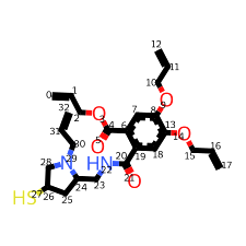 C=CCOC(=O)c1cc(OCC=C)c(OCC=C)cc1C(=O)NCC1CC(S)CN1CC=C